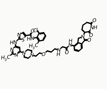 Cc1nc(Nc2ncc(C(=O)Nc3c(C)cccc3Cl)s2)cc(N2CCN(CCOCCCNCC(=O)Nc3cccc4c3CN(C3CCCC(=O)NC3=O)C4=O)CC2)n1